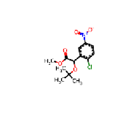 COC(=O)C(OC(C)(C)C)c1cc([N+](=O)[O-])ccc1Cl